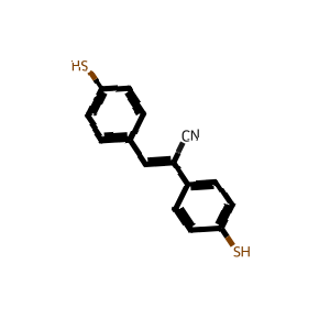 N#C/C(=C\c1ccc(S)cc1)c1ccc(S)cc1